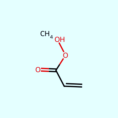 C.C=CC(=O)OO